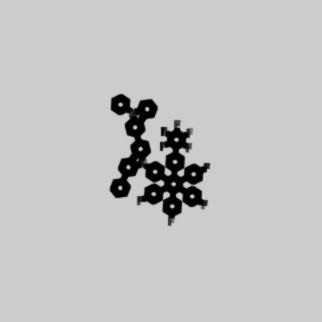 Fc1ccc(-c2c(-c3ccc(F)cc3)c(-c3ccc(F)cc3)c(-c3ccc(-n4c5ccc(-c6ccc7c(c6)c6ccccc6n7-c6ccccc6)cc5c5ccc(-c6ccccc6)cc54)cc3)c(-c3ccc(-c4c(F)c(F)c(F)c(F)c4F)cc3)c2-c2ccc(F)cc2)cc1